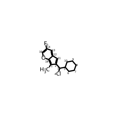 Cc1c(C(Cl)C2CCCCC2)cc2cc(F)coc1-2